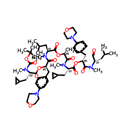 CC(C)C[C@@H](C=O)N(C)C(=O)[C@@H](Cc1ccc(N2CCOCC2)cc1)OC(=O)[C@H](CC1CC1)N(C)C(=O)[C@@H](C)OC(=O)[C@H](CC(C)C)N(C)C(=O)[C@@H](Cc1ccc(N2CCOCC2)cc1)OC(=O)[C@H](CC1CC1)N(C)C(=O)OC(C)(C)C